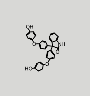 O=C1Nc2ccccc2C1(c1ccc(OC2=CC=C(O)CC2)cc1)c1ccc(Oc2ccc(O)cc2)cc1